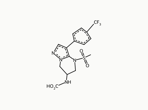 CS(=O)(=O)N1CC(NC(=O)O)Cn2ncc(-c3ccc(C(F)(F)F)cc3)c21